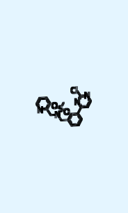 CS(=O)(=O)N(Cc1cccc(-c2ccnc(Cl)n2)c1)Cc1ccccn1